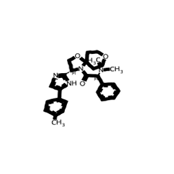 Cc1ccc(-c2cnc([C@@H]3COC4(CCOCC4)N3C(=O)[C@@H](c3ccccc3)N(C)C)[nH]2)cc1